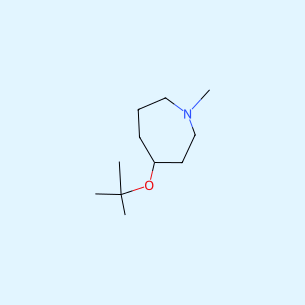 CN1CCCC(OC(C)(C)C)CC1